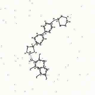 Cc1nc2nc(C)c(C)n2c(C)c1O[C@@H]1CCN(c2ccc(-c3ccc(CN4CCOCC4)nn3)cc2)C1